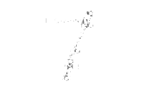 CCCCCCCCCCCC(=O)N[C@@H](Cc1ccccc1)C(=O)NCCCCCCCCCCC(=O)OCCc1ccc(NC(=O)OCc2ccccc2)cc1